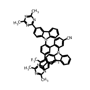 Cc1nc(C)nc(-c2ccc3c(c2)c2ccccc2n3-c2ccc(-c3c(C(F)(F)F)cccc3C(F)(F)F)cc2-c2ccc(C#N)cc2-n2c3ccccc3c3cc(-c4nc(C)nc(C)n4)ccc32)n1